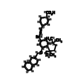 CC1(C)CCC(C)(C)c2c(OCc3ccc4ccccc4c3)cc([Se]C#Cc3ccc(C(=O)O)cc3)cc21